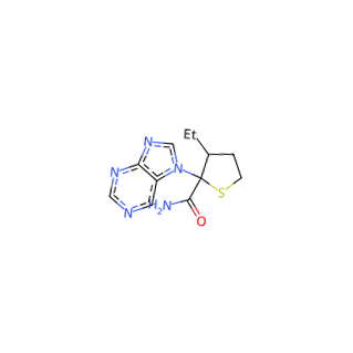 CCC1CCSC1(C(N)=O)n1cnc2ncncc21